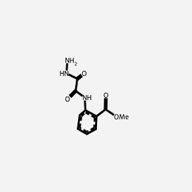 COC(=O)c1ccccc1NC(=O)C(=O)NN